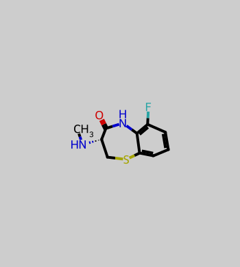 CN[C@H]1CSc2cccc(F)c2NC1=O